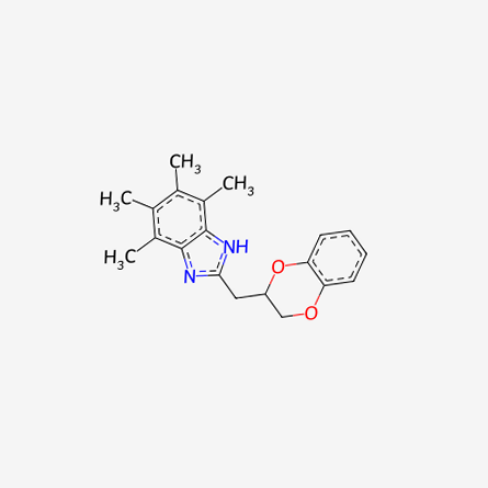 Cc1c(C)c(C)c2[nH]c(CC3COc4ccccc4O3)nc2c1C